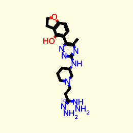 Cc1nc(NC2CCCN(CC/C(=N/N)NN)C2)nnc1-c1ccc2c(c1O)CCO2